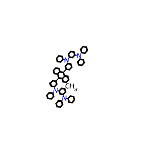 Cc1ccc2c(-c3cccc(N(c4ccccc4)c4cccc(N(c5ccccc5)c5ccccc5)c4)c3)c3ccccc3c(-c3cccc(N(c4ccccc4)c4cccc(N(c5ccccc5)c5ccccc5)c4)c3)c2c1